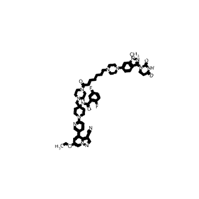 CCOc1cc(-c2ccc(N3CCC(CN4CCN(C(=O)CCCCCCN5CCN(c6ccc7c(N8CCC(=O)NC8=O)nn(C)c7c6)CC5)CC4)(NC(=O)c4cc(F)ccc4F)CC3)nc2)c2c(C#N)cnn2c1